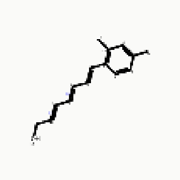 Cc1ccc(C=C/C=C/C=C/CO)c(C)c1